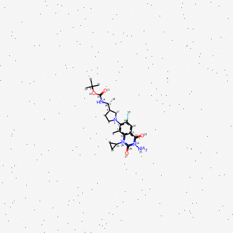 Cc1c(N2CCC([C@@H](C)NC(=O)OC(C)(C)C)C2)c(F)cc2c(=O)n(N)c(=O)n(C3CC3)c12